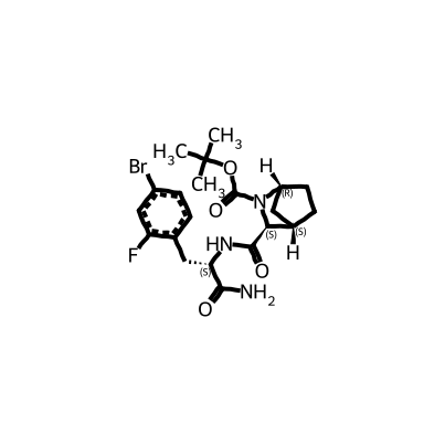 CC(C)(C)OC(=O)N1[C@@H]2CC[C@@H](C2)[C@H]1C(=O)N[C@@H](Cc1ccc(Br)cc1F)C(N)=O